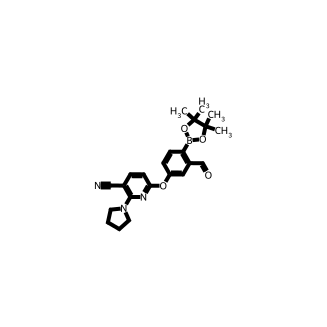 CC1(C)OB(c2ccc(Oc3ccc(C#N)c(N4CCCC4)n3)cc2C=O)OC1(C)C